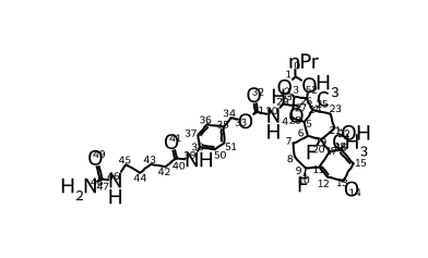 CCCC1O[C@@H]2CC3C4CC[C@H](F)C5=CC(=O)C=C[C@]5(C)[C@@]4(F)[C@@H](O)C[C@]3(C)[C@]2(C(=O)CNC(=O)OCc2ccc(NC(=O)CCCCNC(N)=O)cc2)O1